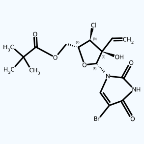 C=C[C@@]1(O)[C@H](Cl)[C@@H](COC(=O)C(C)(C)C)O[C@H]1n1cc(Br)c(=O)[nH]c1=O